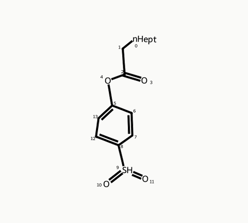 CCCCCCCCC(=O)Oc1ccc([SH](=O)=O)cc1